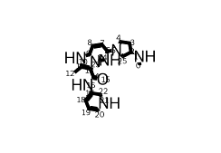 CN[C@H]1CCN(C2C=CC3NC(C)=C(C(=O)NC4=CC=CNC4)N3N2)C1